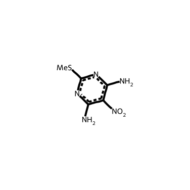 CSc1nc(N)c([N+](=O)[O-])c(N)n1